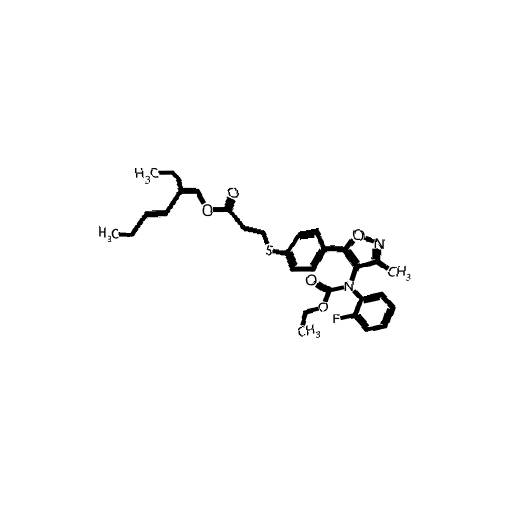 CCCCC(CC)COC(=O)CCSc1ccc(-c2onc(C)c2N(C(=O)OCC)c2ccccc2F)cc1